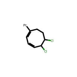 ClC1C=CC=[C]([Pt])CCC1Cl